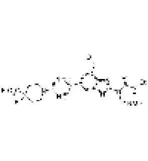 C=C(/N=C\C(=C/N)c1cc(CO)c2sc(N(CNC)C(=O)NCC)nc2c1)N1CCC(CC)(C(=O)OCC)CC1